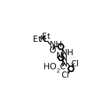 CCN(CC)CCCNC(=O)c1cccc(Nc2nccc(N(Cc3cc(Cl)ccc3Cl)C(=O)O)n2)c1